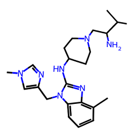 Cc1cccc2c1nc(NC1CCN(CC(N)C(C)C)CC1)n2Cc1cn(C)cn1